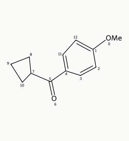 COc1ccc(C(=O)C2CCC2)cc1